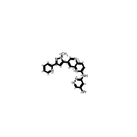 CC(C)c1cnnc(Nc2ccc3ncc(-c4cc(-c5ccccn5)nn4C)cc3n2)c1